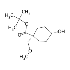 COC[C@]1(C(=O)OC(C)(C)C)CC[C@H](O)CC1